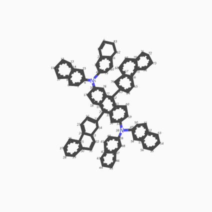 C1=Cc2cc(N(c3ccc4ccccc4c3)c3ccc4c(C5=CC=C6c7ccccc7C=CC6C5)c5cc(N(c6ccc7ccccc7c6)c6ccc7ccccc7c6)ccc5c(-c5ccc6c(ccc7ccccc76)c5)c4c3)ccc2CC1